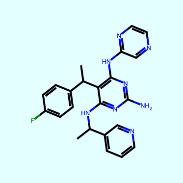 CC(Nc1nc(N)nc(Nc2cnccn2)c1C(C)c1ccc(F)cc1)c1cccnc1